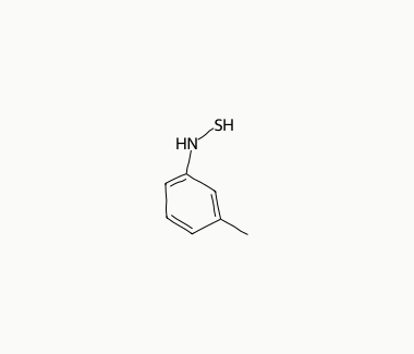 Cc1cccc(NS)c1